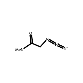 CNC(=O)CN=[N+]=[N-]